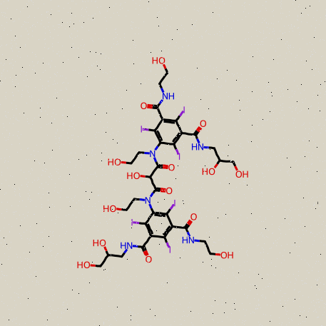 O=C(NCCO)c1c(I)c(C(=O)NCC(O)CO)c(I)c(N(CCO)C(=O)C(O)C(=O)N(CCO)c2c(I)c(C(=O)NCCO)c(I)c(C(=O)NCC(O)CO)c2I)c1I